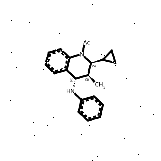 CC(=O)N1c2ccccc2[C@@H](Nc2ccccc2)[C@H](C)[C@@H]1C1CC1